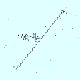 CCCCCCCCCCCCCCCCCCC(CCCCCCCCCCCCCCCCCC)OC(=O)NCCCOC(C)C